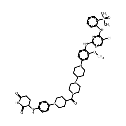 COc1cc(N2CCC(N3CCN(C(=O)C4CCN(c5ccc(NC6CCC(=O)NC6=O)cc5)CC4)CC3)CC2)ccc1Nc1ncc(Cl)c(Nc2ccccc2P(C)(C)=O)n1